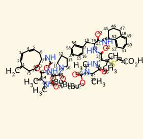 C=C1/C=C\C=C/C[C@H](NC(=O)[C@@H]2C[C@H](c3ccc(C[C@H](NC(=O)[C@@H](NC(=O)[C@H](C)N(C)C(=O)OC(C)(C)C)C(C)(C)SCC(=O)O)C(=O)N[C@@H]4CCCc5ccccc54)cc3)CN2C(=O)C(NC(=O)[C@H](C)N(C)C(=O)OC(C)(C)C)C(C)(C)C)CCC1